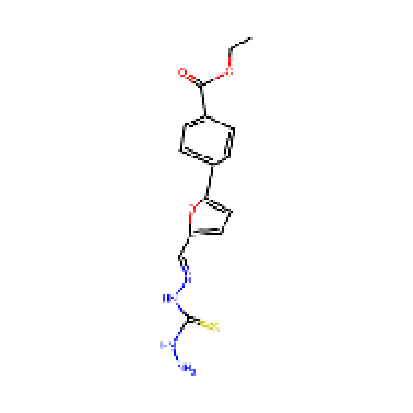 CCOC(=O)c1ccc(-c2ccc(/C=N/NC(=S)NN)o2)cc1